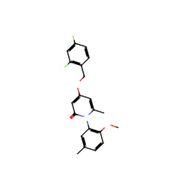 COc1ccc(C)cc1-n1c(C)cc(OCc2ccc(F)cc2F)cc1=O